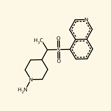 CC(C1CCN(N)CC1)S(=O)(=O)c1cccc2cnccc12